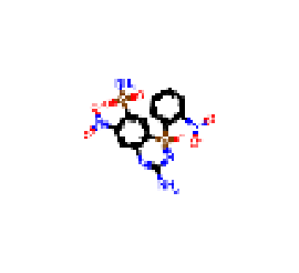 NC1=Nc2cc([N+](=O)[O-])c(S(N)(=O)=O)cc2S(=O)(c2ccccc2[N+](=O)[O-])=N1